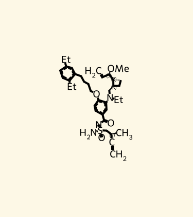 C=CC[C@H](C)CS(N)(=O)=NC(=O)c1ccc(OCCCCc2cc(CC)ccc2CC)c(N(CC)C[C@@H]2CC[C@H]2[C@H](C=C)OC)c1